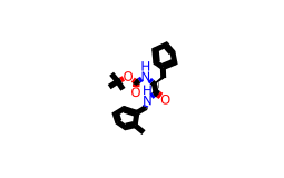 Cc1ccccc1CNC(=O)[C@H](Cc1ccccc1)NC(=O)OC(C)(C)C